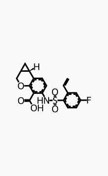 C=Cc1cc(F)ccc1S(=O)(=O)Nc1ccc2c(c1C(=O)O)OCC1C[C@H]21